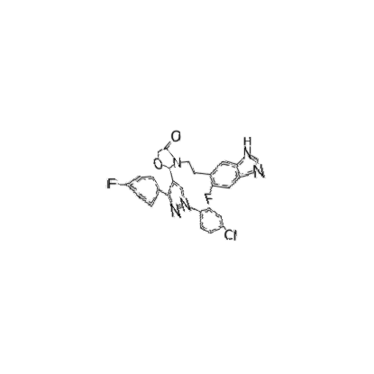 O=C1COC(c2cn(-c3ccc(Cl)cc3)nc2-c2ccc(F)cc2)N1CCc1cc2[nH]cnc2cc1F